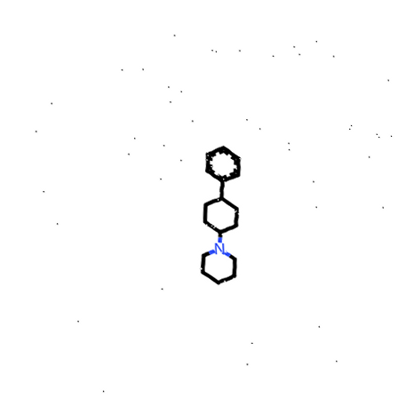 c1ccc(C2CCC(N3CCCCC3)CC2)cc1